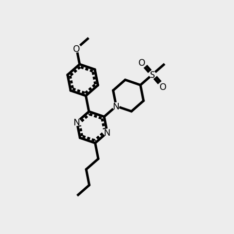 CCCCc1cnc(-c2ccc(OC)cc2)c(N2CCC(S(C)(=O)=O)CC2)n1